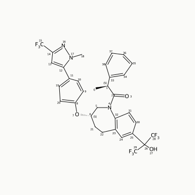 C[C@H](C(=O)N1C[C@@H](Oc2ccc(-c3cc(C(F)(F)F)nn3C)cc2)CCc2cc(C(O)(C(F)(F)F)C(F)(F)F)ccc21)c1ccccc1